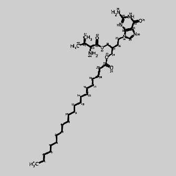 CCCCCCCCCCCCCCCCCCCCCC(=O)OCC(CCn1cnc2c(=O)[nH]c(N)nc21)COC(=O)[C@@H](N)C(C)C